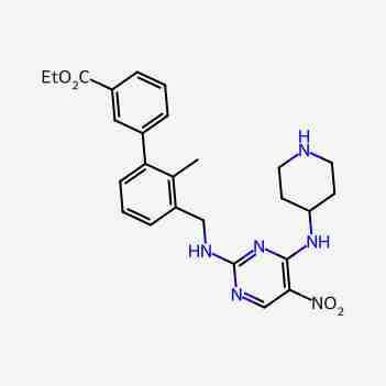 CCOC(=O)c1cccc(-c2cccc(CNc3ncc([N+](=O)[O-])c(NC4CCNCC4)n3)c2C)c1